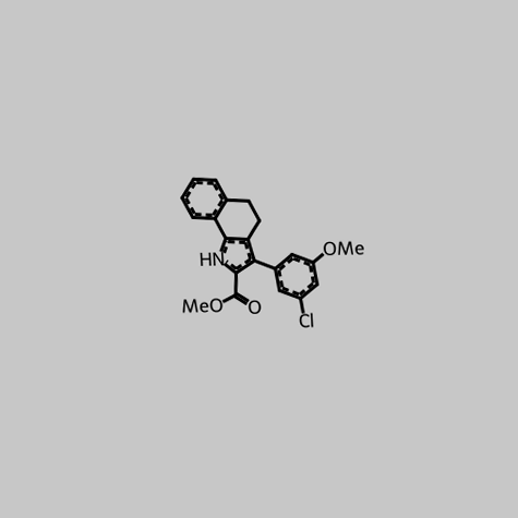 COC(=O)c1[nH]c2c(c1-c1cc(Cl)cc(OC)c1)CCc1ccccc1-2